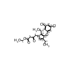 CCOC(=O)CC(=O)Cn1nc(CC)c(Oc2cc(Cl)cc(Cl)c2)c1CC